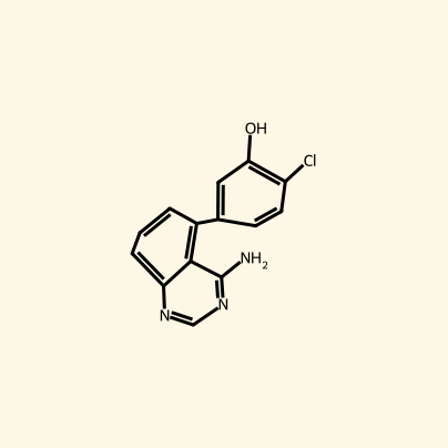 Nc1ncnc2cccc(-c3ccc(Cl)c(O)c3)c12